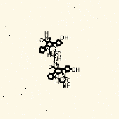 CN[C@@H]1C[C@H]2O[C@@](C)([C@@H]1OC)n1c3cc(O)ccc3c3c4c(c5c6ccccc6n2c5c31)C(=O)N(CN[C@@H]1C[C@H]2O[C@@](C)([C@@H]1OC)n1c3ccc(O)cc3c3c5c(c6c7ccccc7n2c6c31)C(=O)NC5)C4